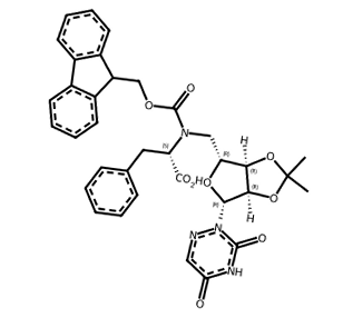 CC1(C)O[C@@H]2[C@H](O1)[C@@H](CN(C(=O)OCC1c3ccccc3-c3ccccc31)[C@@H](Cc1ccccc1)C(=O)O)O[C@H]2n1ncc(=O)[nH]c1=O